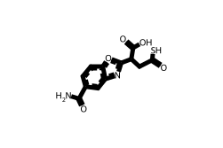 NC(=O)c1ccc2oc(C(CC(=O)S)C(=O)O)nc2c1